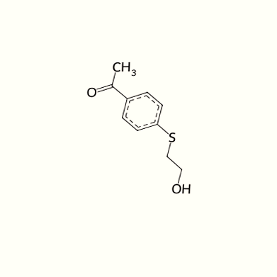 CC(=O)c1ccc(SCCO)cc1